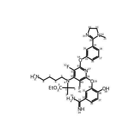 CCOC(=O)C(C)(C)N(CCCCN)c1c(F)c(Oc2cccc(C3=NCCN3C)c2)nc(Oc2cc(C(=N)N)ccc2O)c1F